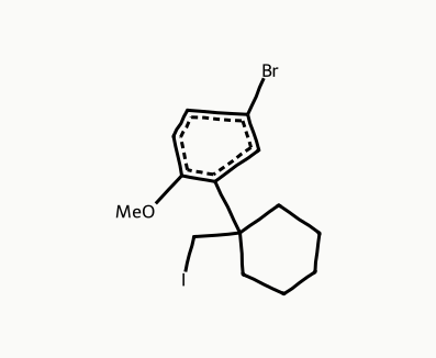 COc1ccc(Br)cc1C1(CI)CCCCC1